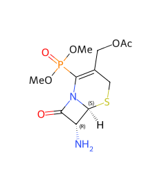 COP(=O)(OC)C1=C(COC(C)=O)CS[C@H]2[C@H](N)C(=O)N12